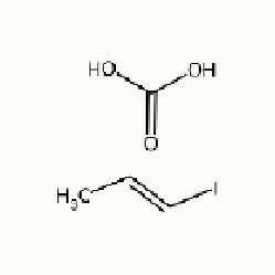 CC=CI.O=C(O)O